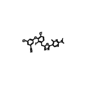 Cc1nc(N(C)C)ncc1-c1nnc(Cc2ccc(Cl)c(Oc3cc(Cl)cc(C#N)c3)c2F)o1